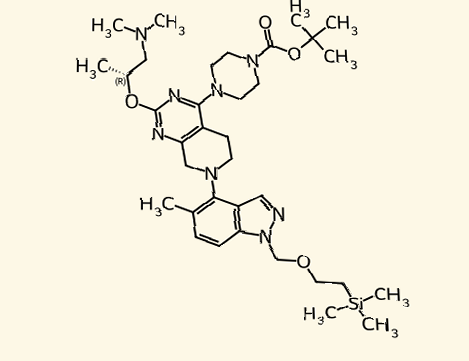 Cc1ccc2c(cnn2COCC[Si](C)(C)C)c1N1CCc2c(nc(O[C@H](C)CN(C)C)nc2N2CCN(C(=O)OC(C)(C)C)CC2)C1